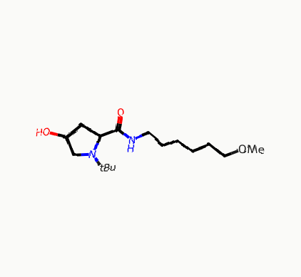 COCCCCCCNC(=O)C1CC(O)CN1C(C)(C)C